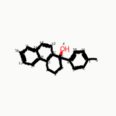 Cc1ccc(C2(O)CCCc3c2ccc2ccccc32)cc1